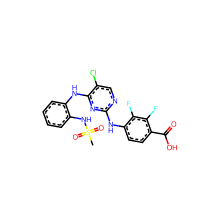 CS(=O)(=O)Nc1ccccc1Nc1nc(Nc2ccc(C(=O)O)c(F)c2F)ncc1Cl